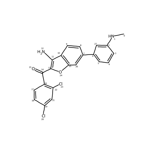 CNc1cccc(-c2ccc3c(N)c(C(=O)c4ccc(Cl)cc4Cl)oc3c2)c1